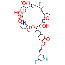 CCC1/C=C(\C)C(F)C(C)CC(OC)C2OC(O)(C(=O)C(=O)N3CCCCC3C(=O)OC(C(C)=CC3CCC(OCC=Cc4cc(F)cc(F)c4)C(OC)C3)C(C)C(O)CC1=O)C(C)CC2OC